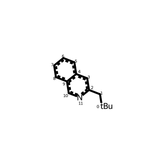 CC(C)(C)Cc1cc2ccccc2cn1